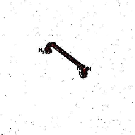 Cc1ccc(C(=O)Nc2ccc(CN3CCN(C(=O)CCOCCOCCOCCOCCOCCOCCOCCOCCOCCOCCOCCOCCOCCOCCOCCOCCOCCOCCOCCOCCNC(=O)C4CCN(c5ncc(C(=O)Nc6ccc(OC(F)(F)Cl)cc6)cc5-c5ccn[nH]5)CC4)CC3)c(C(F)(F)F)c2)cc1C#Cc1cnc2cccnn12